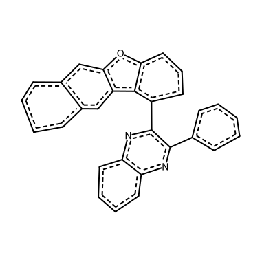 c1ccc(-c2nc3ccccc3nc2-c2cccc3oc4cc5ccccc5cc4c23)cc1